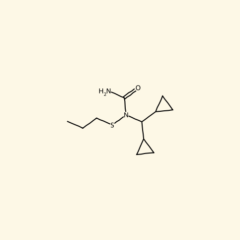 CCCSN(C(N)=O)C(C1CC1)C1CC1